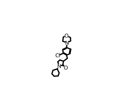 O=C1C(Cc2ccc(N3CCOCC3)cc2Cl)CCN1C1CCCCC1